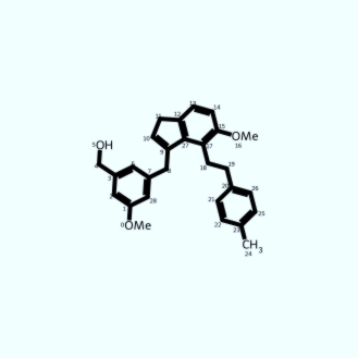 COc1cc(CO)cc(CC2=CCc3ccc(OC)c(CCc4ccc(C)cc4)c32)c1